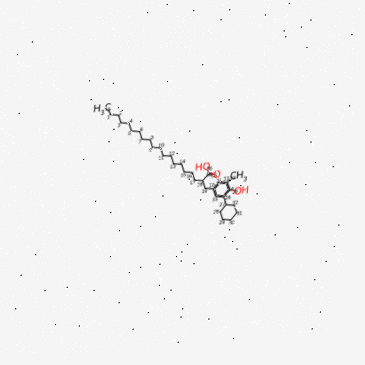 CCCCCCCCCCCCCCCCCCC(Cc1cc(C)c(O)c(C2CCCCC2)c1)C(=O)O